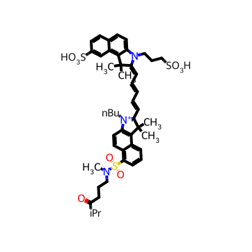 CCCC[N+]1=C(/C=C/C=C/C=C2/N(CCCS(=O)(=O)O)c3ccc4ccc(S(=O)(=O)O)cc4c3C2(C)C)C(C)(C)c2c1ccc1c(S(=O)(=O)N(C)CCCC(=O)C(C)C)cccc21